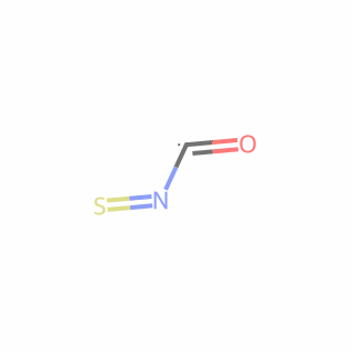 O=[C]N=S